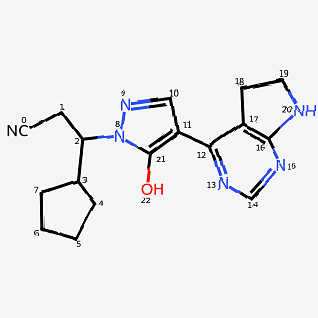 N#CCC(C1CCCC1)n1ncc(-c2ncnc3c2CCN3)c1O